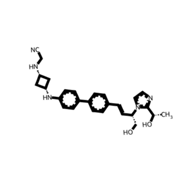 C[C@H](O)c1nccn1[C@@H](/C=C/c1ccc(-c2ccc(N[C@H]3C[C@@H](NCC#N)C3)cc2)cc1)CO